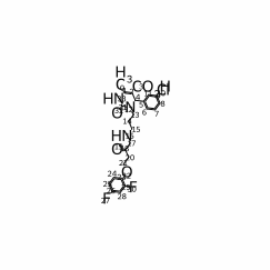 CC1=C(C(=O)O)C(c2cccc(Cl)c2)N(CCCNCC(=O)CCOc2ccc(F)cc2F)C(=O)N1